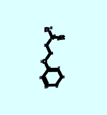 CCN(CC)CCOC1=CC[CH]C=C1